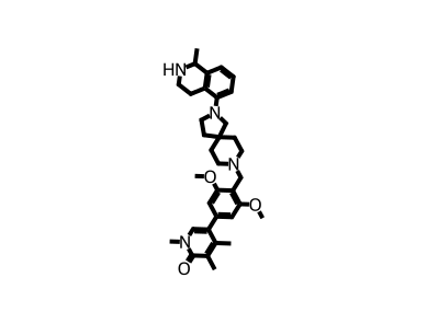 COc1cc(-c2cn(C)c(=O)c(C)c2C)cc(OC)c1CN1CCC2(CC1)CCN(c1cccc3c1CCNC3C)C2